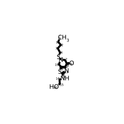 CCCCCSN1CC(=O)c2nc(NCCO)sc2C1